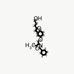 Cc1oc(-c2ccccc2)nc1COc1ccc2oc(/C=C/CO)cc2c1